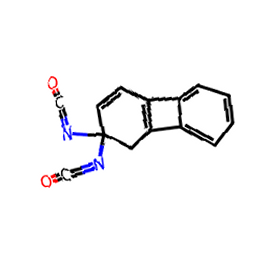 O=C=NC1(N=C=O)C=CC2=C(C1)c1ccccc12